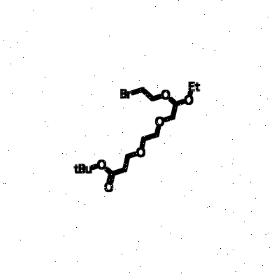 CCOC(COCCOCCC(=O)OC(C)(C)C)OCCBr